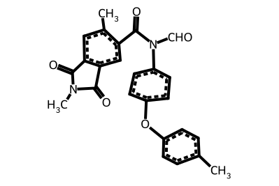 Cc1ccc(Oc2ccc(N(C=O)C(=O)c3cc4c(cc3C)C(=O)N(C)C4=O)cc2)cc1